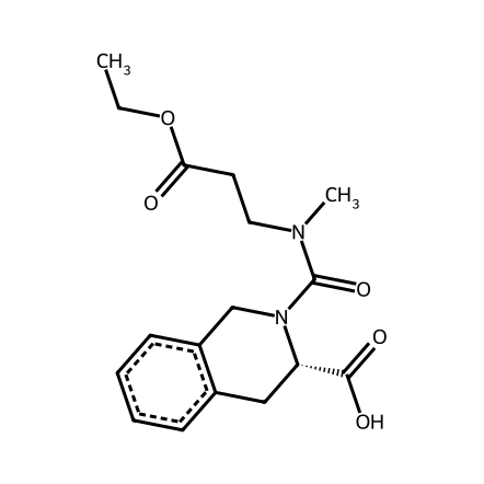 CCOC(=O)CCN(C)C(=O)N1Cc2ccccc2C[C@H]1C(=O)O